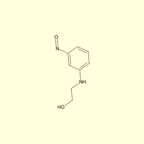 O=Nc1cccc(NCCO)c1